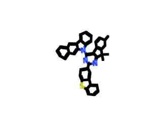 CC1C=CC2=C(C1)C(C)(C)c1nc(-c3ccc4sc5ccccc5c4c3)nc(-n3c4ccccc4c4cc5ccccc5cc43)c12